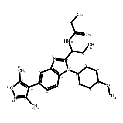 COC1CCC(n2c([C@H](CO)NC(=O)CCl)nc3cc(-c4c(C)noc4C)ccc32)CC1